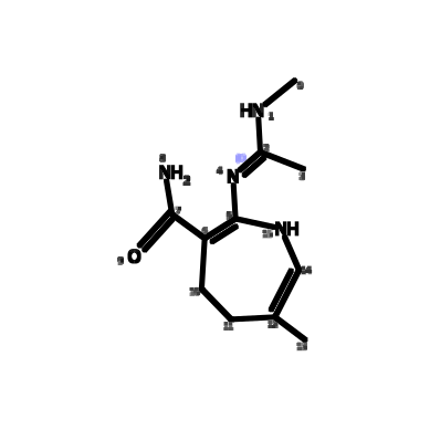 CN/C(C)=N/C1=C(C(N)=O)CCC(C)=CN1